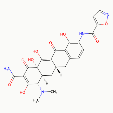 CN(C)[C@@H]1C(O)=C(C(N)=O)C(=O)[C@@]2(O)C(O)=C3C(=O)c4c(ccc(NC(=O)c5ccno5)c4O)C[C@@H]3C[C@@H]12